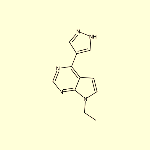 CCn1ccc2c(-c3cn[nH]c3)ncnc21